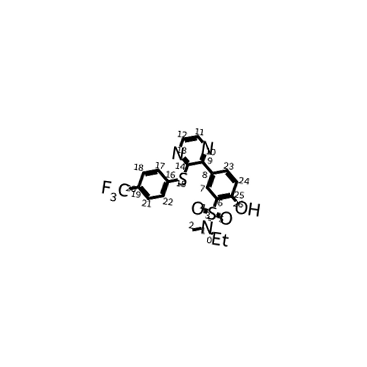 CCN(C)S(=O)(=O)c1cc(-c2nccnc2Sc2ccc(C(F)(F)F)cc2)ccc1O